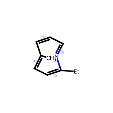 CCC1=C/C=C(C)/C=C\C=N\1